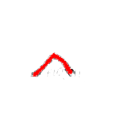 CCOC(C)=O.c1ccccc1.c1ccccc1.c1ccccc1.c1ccccc1.c1ccccc1.c1ccccc1.c1ccccc1.c1ccccc1.c1ccccc1.c1ccccc1.c1ccccc1.c1ccccc1.c1ccccc1.c1ccccc1.c1ccccc1.c1ccccc1.c1ccccc1.c1ccccc1.c1ccccc1.c1ccccc1